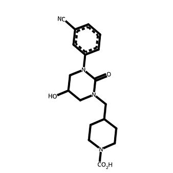 N#Cc1cccc(N2CC(O)CN(CC3CCN(C(=O)O)CC3)C2=O)c1